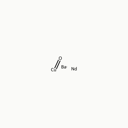 [Ba].[Nd].[O]=[Cu]